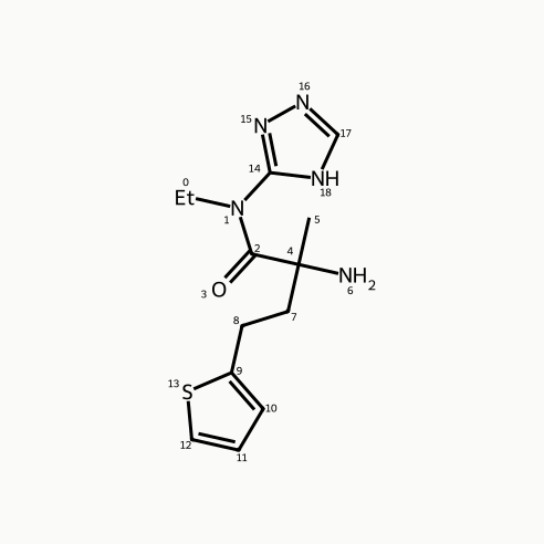 CCN(C(=O)C(C)(N)CCc1cccs1)c1nnc[nH]1